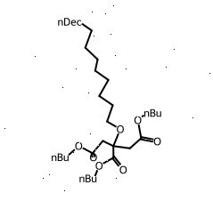 CCCCCCCCCCCCCCCCCCOC(CC(=O)OCCCC)(CC(=O)OCCCC)C(=O)OCCCC